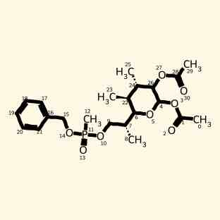 CC(=O)OC1OC([C@H](C)COP(C)(=O)OCc2ccccc2)[C@@H](C)[C@H](C)C1OC(C)=O